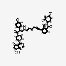 C[C@@H]1C[C@@H](O)c2ncnc(N3CCN(C(=O)C(CNCCCCC#Cc4cccc5c4CN(C4CCC(=O)NC4=O)C5=O)c4ccc(Cl)cc4)CC3)c21